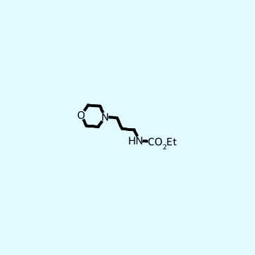 CCOC(=O)NCCCN1CCOCC1